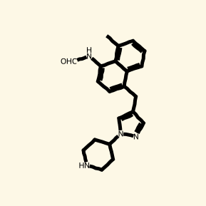 Cc1cccc2c(Cc3cnn(C4CCNCC4)c3)ccc(NC=O)c12